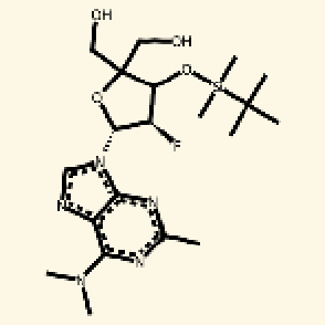 Cc1nc(N(C)C)c2ncn([C@@H]3OC(CO)(CO)C(O[Si](C)(C)C(C)(C)C)[C@H]3F)c2n1